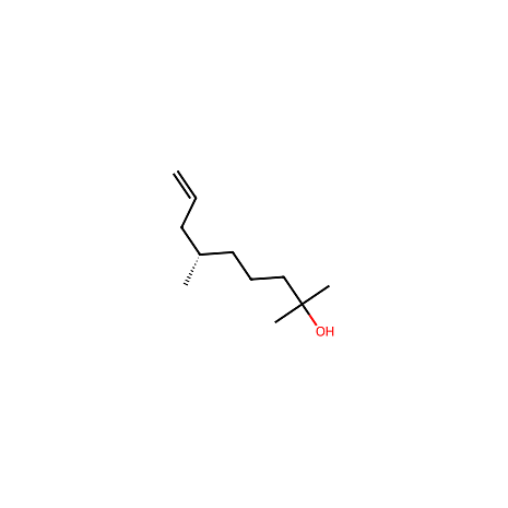 C=CC[C@@H](C)CCCC(C)(C)O